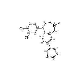 CN1CCN(c2ccc(Cl)c(Cl)c2)c2ccc(-c3cncnc3)cc2C1